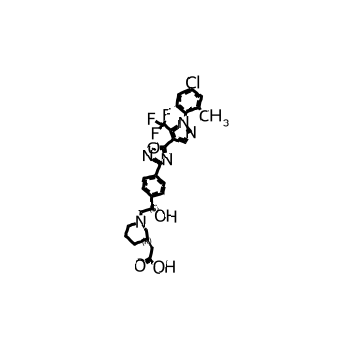 Cc1cc(Cl)ccc1-n1ncc(-c2nc(-c3ccc([C@H](O)CN4CCC[C@H](CC(=O)O)C4)cc3)no2)c1C(F)(F)F